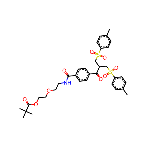 Cc1ccc(S(=O)(=O)CC(CS(=O)(=O)c2ccc(C)cc2)C(=O)c2ccc(C(=O)NCCOCCOC(=O)C(C)(C)C)cc2)cc1